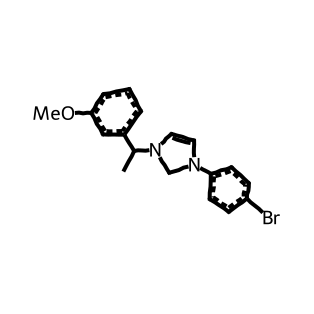 COc1cccc(C(C)N2C=CN(c3ccc(Br)cc3)C2)c1